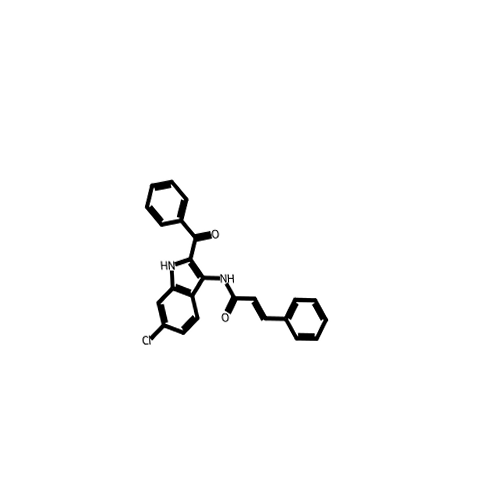 O=C(/C=C/c1ccccc1)Nc1c(C(=O)c2ccccc2)[nH]c2cc(Cl)ccc12